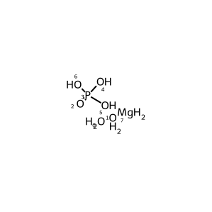 O.O.O=P(O)(O)O.[MgH2]